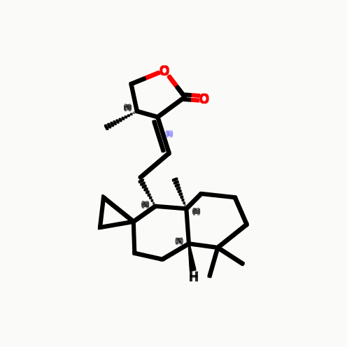 C[C@@H]1COC(=O)/C1=C/C[C@H]1C2(CC[C@H]3C(C)(C)CCC[C@@]31C)CC2